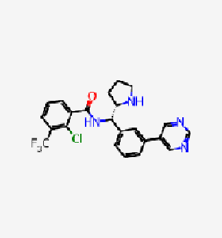 O=C(NC(c1cccc(-c2cncnc2)c1)[C@@H]1CCCN1)c1cccc(C(F)(F)F)c1Cl